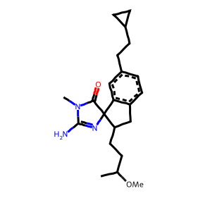 COC(C)CCC1Cc2ccc(CCC3CC3)cc2C12N=C(N)N(C)C2=O